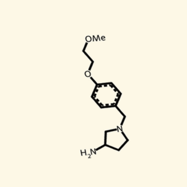 COCCOc1ccc(CN2CCC(N)C2)cc1